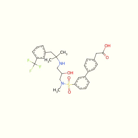 CN(CC(O)CNC(C)(C)Cc1cccc(C(F)(F)F)c1)S(=O)(=O)c1cccc(-c2ccc(CC(=O)O)cc2)c1